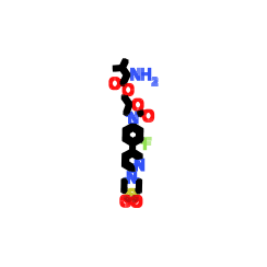 CC(C)[C@H](N)C(=O)OCC1CN(c2ccc(-c3ccc(N4CCS(=O)(=O)CC4)nc3)c(F)c2)C(=O)O1